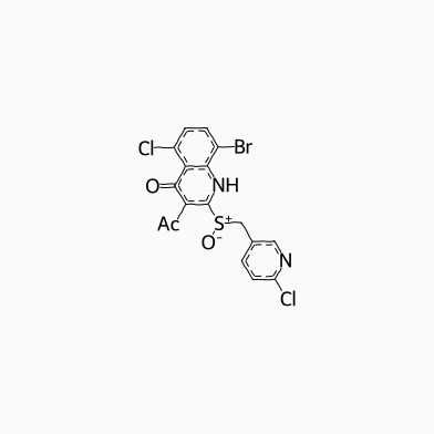 CC(=O)c1c([S+]([O-])Cc2ccc(Cl)nc2)[nH]c2c(Br)ccc(Cl)c2c1=O